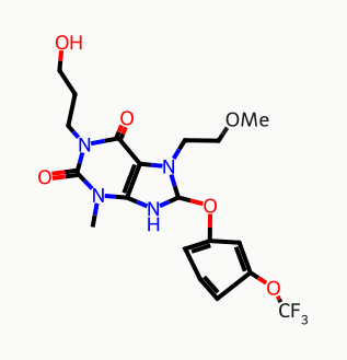 COCCN1c2c(n(C)c(=O)n(CCCO)c2=O)NC1Oc1cccc(OC(F)(F)F)c1